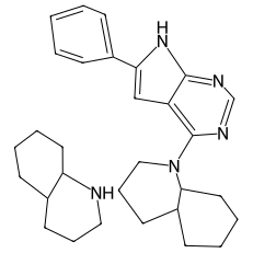 C1CCC2NCCCC2C1.c1ccc(-c2cc3c(N4CCCC5CCCCC54)ncnc3[nH]2)cc1